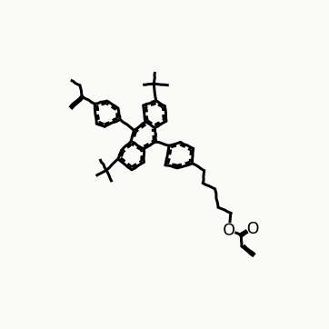 C=CC(=O)OCCCCCc1ccc(-c2c3ccc(C(C)(C)C)cc3c(-c3ccc(C(=C)CC)cc3)c3cc(C(C)(C)C)ccc23)cc1